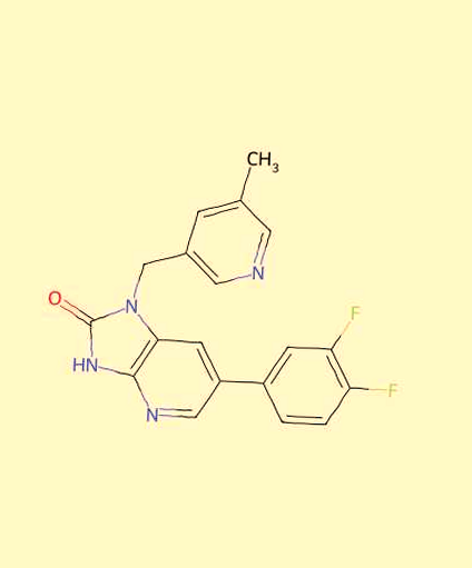 Cc1cncc(Cn2c(=O)[nH]c3ncc(-c4ccc(F)c(F)c4)cc32)c1